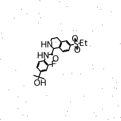 CCS(=O)(=O)c1ccc2c(c1)CCNC2C(=O)Nc1ccc(C(C)(C)O)cc1F